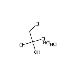 Cl.Cl.OC(Cl)(Cl)CCl